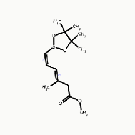 COC(=O)C/C(C)=C/C=C\B1OC(C)(C)C(C)(C)O1